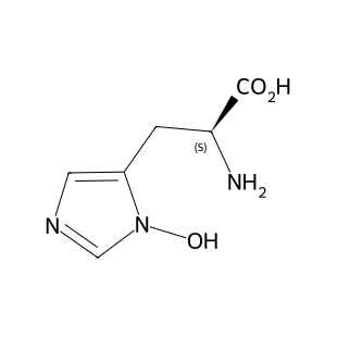 N[C@@H](Cc1cncn1O)C(=O)O